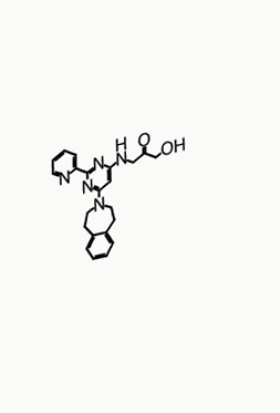 O=C(CO)CNc1cc(N2CCc3ccccc3CC2)nc(-c2ccccn2)n1